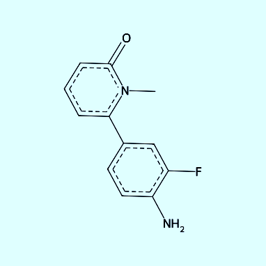 Cn1c(-c2ccc(N)c(F)c2)cccc1=O